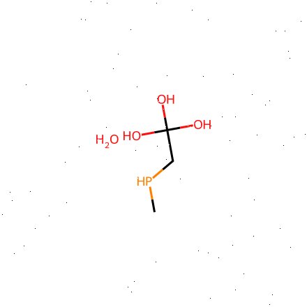 CPCC(O)(O)O.O